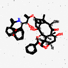 C=C(N[C@@H](c1ccccc1)[C@@H](O)C(=C)O[C@H]1C[C@@]2(O)[C@@H](OC(=O)c3ccccc3)[C@@H]3C4(OC(C)=O)CO[C@@H]4C[C@H](O)[C@@]3(C)C(=O)[C@H](OC(C)=O)C(=C1C)C2(C)C)c1ccccc1